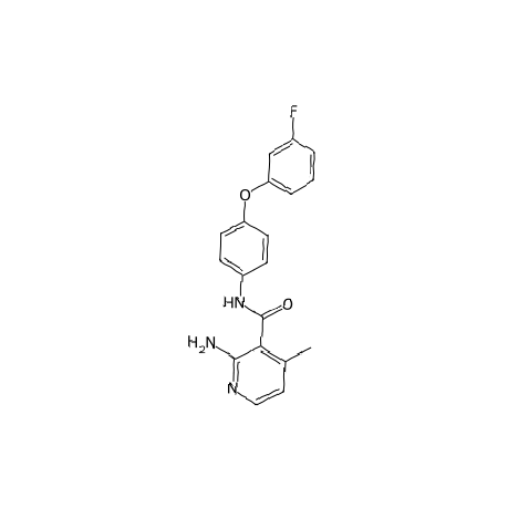 Cc1ccnc(N)c1C(=O)Nc1ccc(Oc2cccc(F)c2)cc1